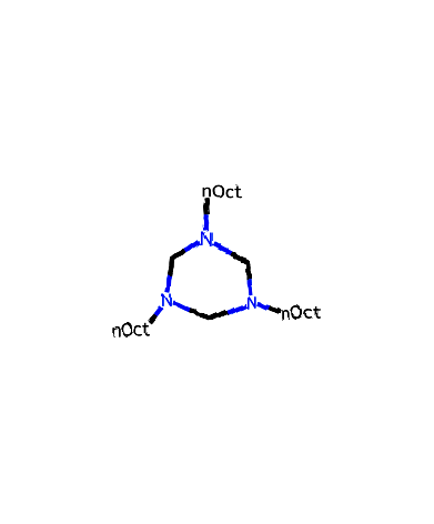 CCCCCCCCN1CN(CCCCCCCC)CN(CCCCCCCC)C1